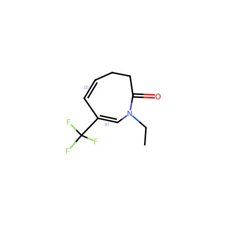 CCN1/C=C(C(F)(F)F)\C=C/CCC1=O